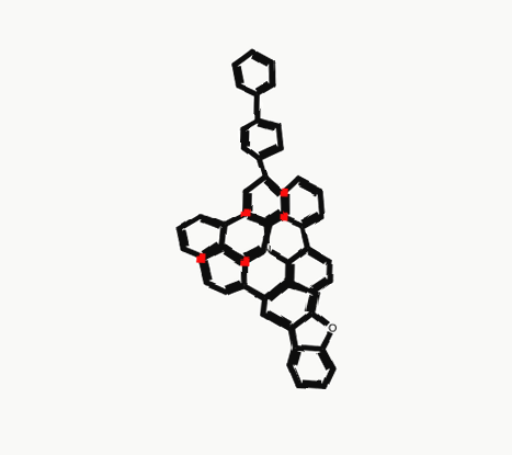 c1ccc(-c2ccc(-c3ccc(N(c4ccccc4-c4ccc5oc6ccccc6c5c4)c4ccccc4-c4ccccc4-c4ccc5ccccc5c4)cc3)cc2)cc1